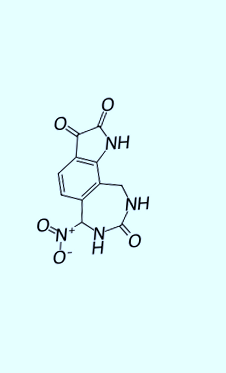 O=C1NCc2c(ccc3c2NC(=O)C3=O)C([N+](=O)[O-])N1